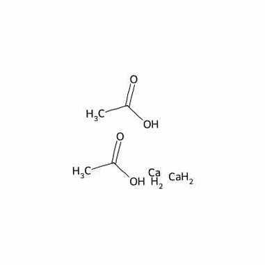 CC(=O)O.CC(=O)O.[CaH2].[CaH2]